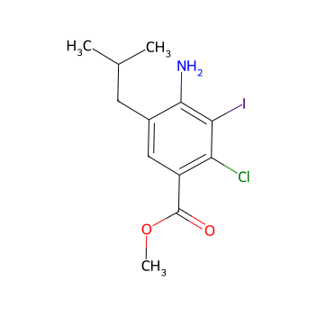 COC(=O)c1cc(CC(C)C)c(N)c(I)c1Cl